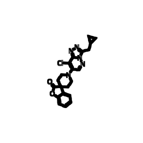 O=C1Oc2ccccc2C12CCN(c1cnn3c(CC4CC4)nnc3c1Cl)CC2